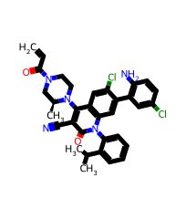 C=CC(=O)N1CCN(c2c(C#N)c(=O)n(-c3ccccc3C(C)C)c3cc(-c4cc(Cl)ccc4N)c(Cl)cc23)[C@@H](C)C1